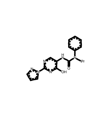 CC(C)N(C(=O)Nc1cnc(-n2cccn2)nc1O)c1ccccc1